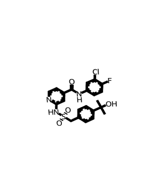 CC(C)(O)c1ccc(CS(=O)(=O)Nc2cc(C(=O)Nc3ccc(F)c(Cl)c3)ccn2)cc1